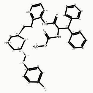 COC(=O)NC(C(=O)Nc1nccnc1CC[C@@H]1CNC[C@@H](CSc2ccc(Cl)cc2)O1)C(c1ccccc1)c1ccccc1